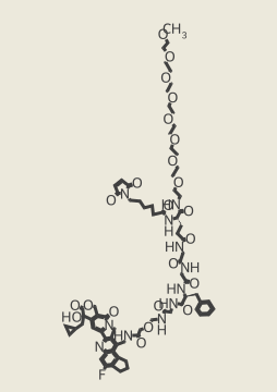 COCCOCCOCCOCCOCCOCCOCCOCCNC(=O)[C@H](CCC(=O)NCC(=O)NCC(=O)N[C@@H](Cc1ccccc1)C(=O)NCC(=O)NCOCC(=O)NCc1c2c(nc3cc(F)c4c(c13)CCC4)-c1cc3c(c(=O)n1C2)COC(=O)[C@]3(O)CC1CC1)NC(=O)CCCCCN1C(=O)C=CC1=O